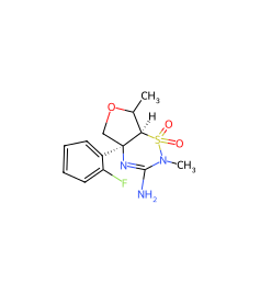 CC1OC[C@]2(c3ccccc3F)N=C(N)N(C)S(=O)(=O)[C@H]12